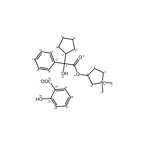 C[N+]1(C)CCC(OC(=O)C(O)(c2ccccc2)C2CCCC2)C1.O=C([O-])c1ccccc1O